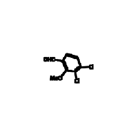 COc1c(C=O)ccc(Cl)c1Cl